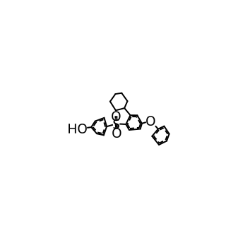 O=S(=O)(c1ccc(O)cc1)c1ccc(Oc2ccccc2)cc1C1CCCCC1